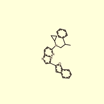 CC(CN(c1ccc2ncc(-c3cc4ccccc4o3)n2n1)C1CC1)c1ccccc1